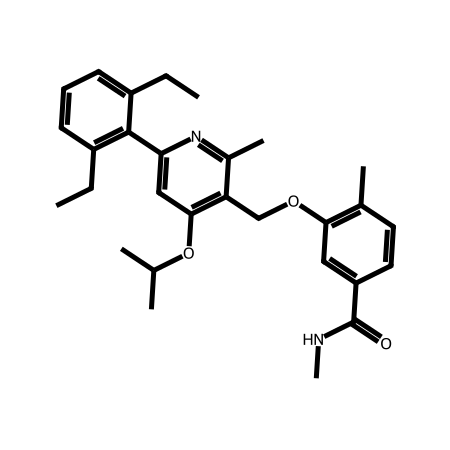 CCc1cccc(CC)c1-c1cc(OC(C)C)c(COc2cc(C(=O)NC)ccc2C)c(C)n1